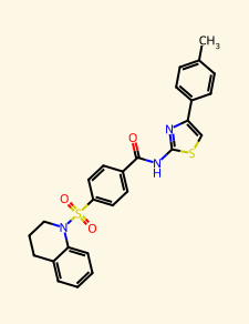 Cc1ccc(-c2csc(NC(=O)c3ccc(S(=O)(=O)N4CCCc5ccccc54)cc3)n2)cc1